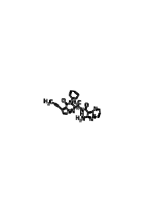 CC#Cc1ccn2nc([C@@H](C)NC(=O)c3c(N)nn4cccnc34)n(-c3ccccc3)c(=O)c12